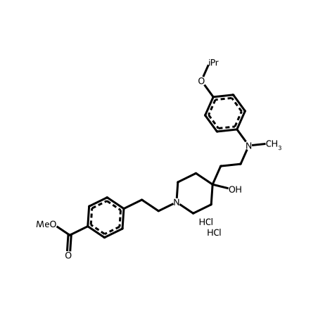 COC(=O)c1ccc(CCN2CCC(O)(CCN(C)c3ccc(OC(C)C)cc3)CC2)cc1.Cl.Cl